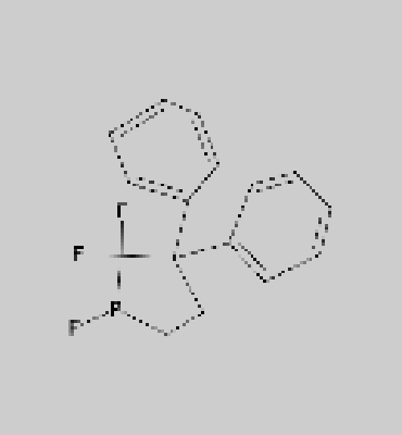 FP1CCC(c2ccccc2)(c2ccccc2)C1(F)F